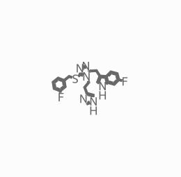 Fc1cccc(CSc2nnc(Cc3c[nH]c4cc(F)ccc34)n2CCc2c[nH]cn2)c1